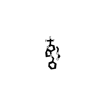 CCOC=O.FC(F)(F)c1ccc2c(ccn2Cc2ccccc2)n1